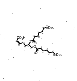 CCCCCCCCCCCCCCCC(=O)OCC(CS/C=C\C(=O)O)OC(=O)CCCCCCCCCCCCCCC